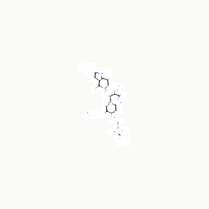 COc1cc2c(Oc3ccc4[nH]c(C)cc4c3F)c(C#N)cnc2cc1OCC1CC(O)C1